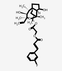 C=C[C@]1(C)C[C@@H](OC(=O)COC(=O)/C=C/c2cccc(F)c2)[C@]2(C)[C@H](C)CC[C@]3(CCC(O)[C@H]32)[C@@H](C)[C@@H]1O